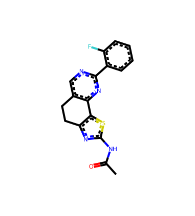 CC(=O)Nc1nc2c(s1)-c1nc(-c3ccccc3F)ncc1CC2